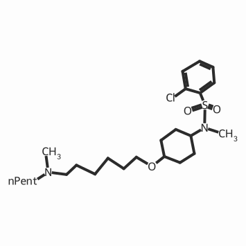 CCCCCN(C)CCCCCCOC1CCC(N(C)S(=O)(=O)c2ccccc2Cl)CC1